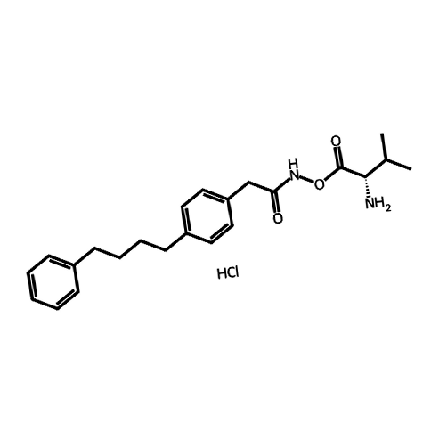 CC(C)[C@H](N)C(=O)ONC(=O)Cc1ccc(CCCCc2ccccc2)cc1.Cl